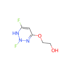 OCCOC1=NN(F)NC(F)=C1